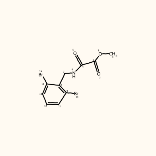 COC(=O)C(=O)NCc1c(Br)cccc1Br